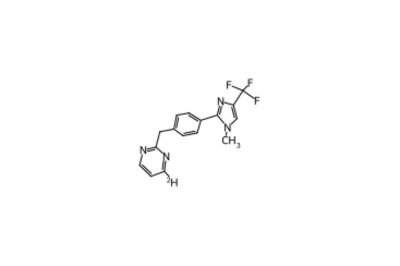 [2H]c1ccnc(Cc2ccc(-c3nc(C(F)(F)F)cn3C)cc2)n1